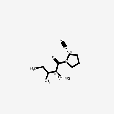 CCC(C)[C@H](N)C(=O)N1CCC[C@H]1C#N.Cl